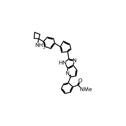 CNC(=O)c1ccccc1-c1ccc2nc(-c3cccc(-c4ccc(C5(N)CCC5)cc4)c3)[nH]c2n1